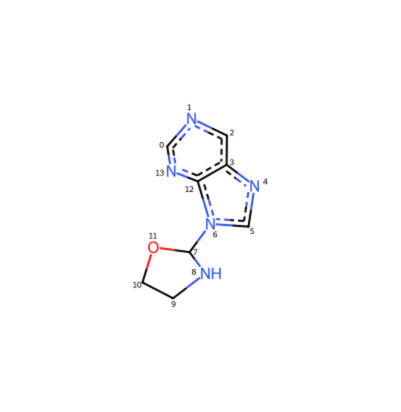 c1ncc2ncn(C3NCCO3)c2n1